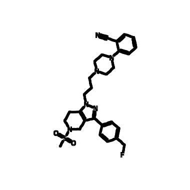 CS(=O)(=O)N1CCc2c(c(-c3ccc(CF)cc3)nn2CCCN2CCN(c3ccccc3C#N)CC2)C1